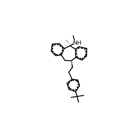 CN[C@]1(C)c2ccccc2C[C@H](CCc2ccc(C(C)(C)C)cc2)c2ccccc21